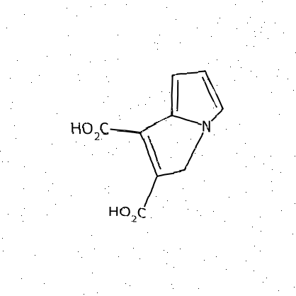 O=C(O)C1=C(C(=O)O)c2cccn2C1